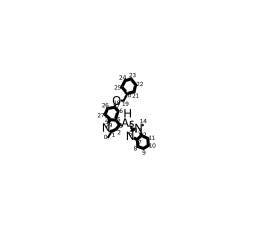 Cc1cc([AsH]c2nc3ccccc3n2C)c2cc(OCc3ccccc3)ccc2n1